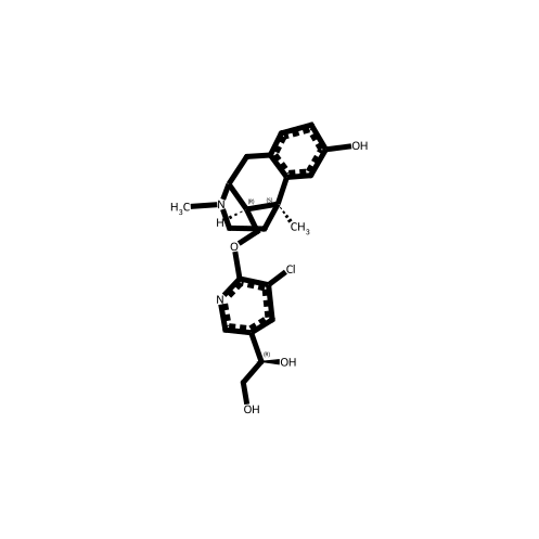 CN1CC[C@]2(C)c3cc(O)ccc3CC1[C@@H]2COc1ncc([C@@H](O)CO)cc1Cl